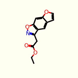 CCOC(=O)Cc1noc2cc3occc3cc12